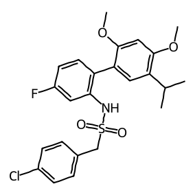 COc1cc(OC)c(C(C)C)cc1-c1ccc(F)cc1NS(=O)(=O)Cc1ccc(Cl)cc1